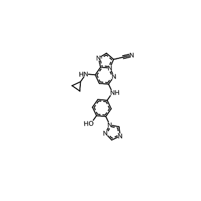 N#Cc1cnc2c(NC3CC3)cc(Nc3ccc(O)c(-n4cncn4)c3)nn12